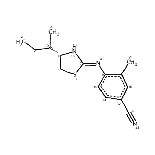 CCC(C)[C@H]1CSC(=Nc2ccc(C#N)cc2C)N1